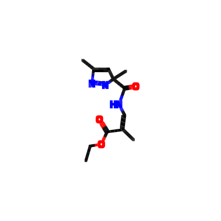 CCOC(=O)C(C)=CNC(=O)C1(C)C=C(C)N=N1